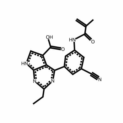 C=C(C)C(=O)Nc1cc(C#N)cc(-c2nc(CC)nc3[nH]cc(C(=O)O)c23)c1